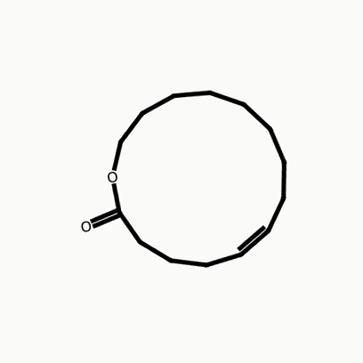 O=C1CCC/C=C\CCCCCCCCO1